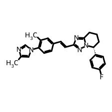 Cc1cn(-c2ccc(/C=C/c3nc4n(n3)[C@@H](c3ccc(F)cc3)CCC4)cc2C)cn1